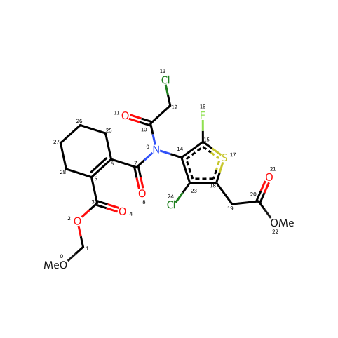 COCOC(=O)C1=C(C(=O)N(C(=O)CCl)c2c(F)sc(CC(=O)OC)c2Cl)CCCC1